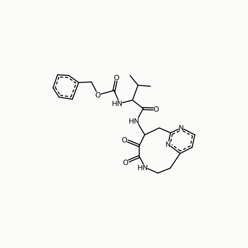 CC(C)C(NC(=O)OCc1ccccc1)C(=O)NC1Cc2nccc(n2)CCNC(=O)C1=O